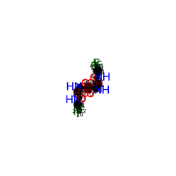 O=C1C(O)=C(c2c[nH]c3ccc(C(=O)Nc4ccc(C(F)(F)F)cc4)cc23)C(=O)C(O)=C1c1c[nH]c2ccc(C(=O)Nc3ccc(C(F)(F)F)cc3)cc12